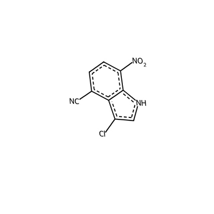 N#Cc1ccc([N+](=O)[O-])c2[nH]cc(Cl)c12